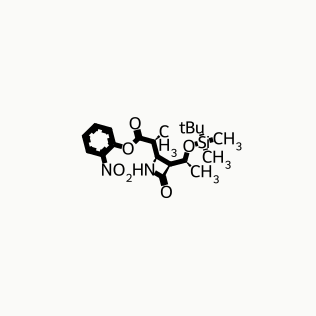 C[C@@H](O[Si](C)(C)C(C)(C)C)[C@H]1C(=O)N[C@@H]1[C@@H](C)C(=O)Oc1ccccc1[N+](=O)[O-]